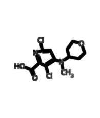 CN(c1cc(Cl)nc(C(=O)O)c1Cl)C1CCOCC1